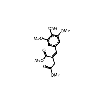 COC(=O)CC(=Cc1cc(OC)c(OC)c(OC)c1)C(=O)OC